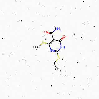 CCSc1nc(SC)c(C(N)=O)c(=O)[nH]1